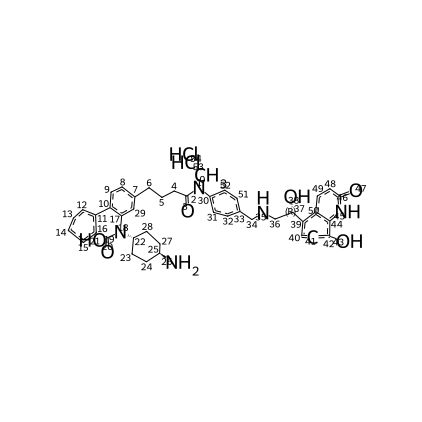 CN(C(=O)CCCc1ccc(-c2ccccc2)c(N(C(=O)O)[C@H]2CC[C@H](N)CC2)c1)c1ccc(CNC[C@H](O)c2ccc(O)c3[nH]c(=O)ccc23)cc1.Cl.Cl